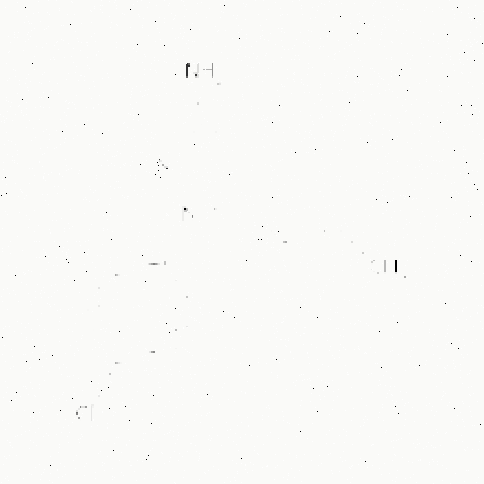 CCCC1CC(N)=NN1c1ccc(Cl)cc1